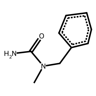 CN(Cc1ccccc1)C(N)=O